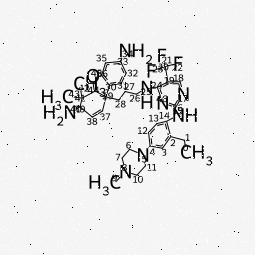 CCc1cc(N2CCN(C)CC2)ccc1Nc1ncc(C(F)(F)F)c(NCCCC2(c3ccc(N)cc3)C=CC(N)C(C)(C)C2=O)n1